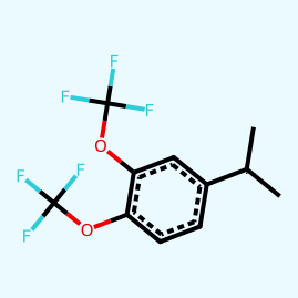 C[C](C)c1ccc(OC(F)(F)F)c(OC(F)(F)F)c1